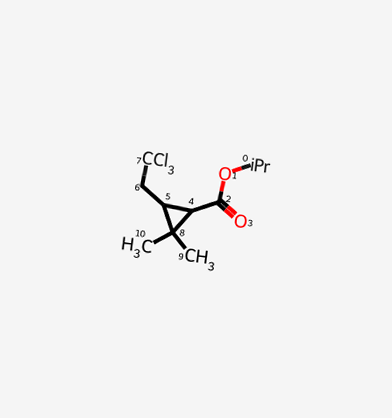 CC(C)OC(=O)C1C(CC(Cl)(Cl)Cl)C1(C)C